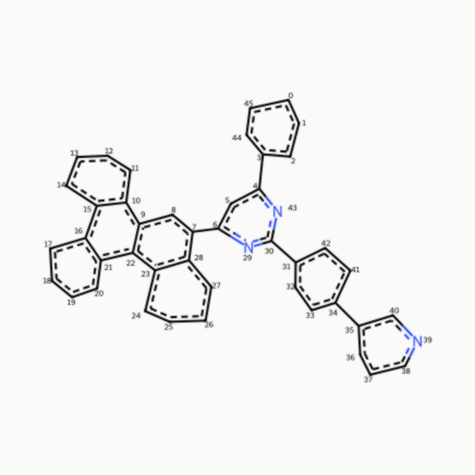 c1ccc(-c2cc(-c3cc4c5ccccc5c5ccccc5c4c4ccccc34)nc(-c3ccc(-c4cccnc4)cc3)n2)cc1